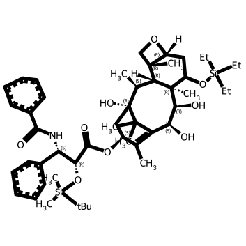 CC[Si](CC)(CC)OC1C[C@H]2OC[C@@]2(C)[C@H]2[C@H](C)[C@]3(O)C[C@H](OC(=O)[C@H](O[Si](C)(C)C(C)(C)C)[C@@H](NC(=O)c4ccccc4)c4ccccc4)C(C)=C([C@H](O)[C@H](O)[C@]12C)C3(C)C